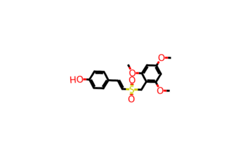 COc1cc(OC)c(CS(=O)(=O)C=Cc2ccc(O)cc2)c(OC)c1